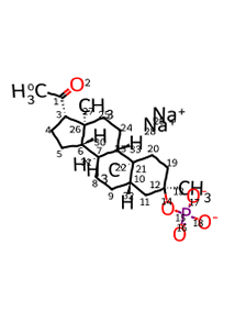 CC(=O)[C@H]1CC[C@H]2[C@@H]3CC[C@H]4C[C@](C)(OP(=O)([O-])[O-])CC[C@]4(C)[C@H]3CC[C@]12C.[Na+].[Na+]